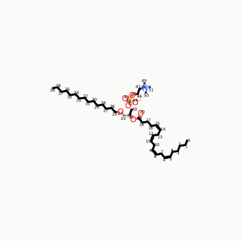 CCCCC/C=C\C/C=C\C/C=C\C/C=C\CCCC(=O)O[C@H](COCCCCCCCCCCCCCCC)COP(=O)([O-])OCC[N+](C)(C)C